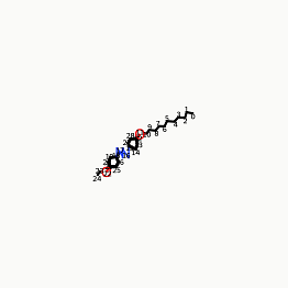 CCCCCCCCCCCOc1ccc(/N=N/c2ccc(OCC)cc2)cc1